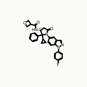 O=C(N[C@@H]1CC(=O)N(c2ccc3c(cnn3-c3ccc(F)cc3)c2)C1(c1ccccc1)C1CC1)C1COC1